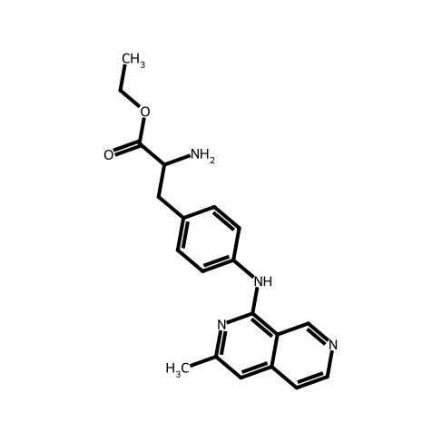 CCOC(=O)C(N)Cc1ccc(Nc2nc(C)cc3ccncc23)cc1